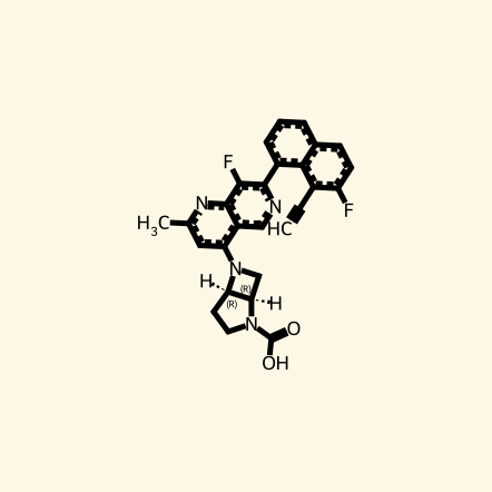 C#Cc1c(F)ccc2cccc(-c3ncc4c(N5C[C@@H]6[C@H]5CCN6C(=O)O)cc(C)nc4c3F)c12